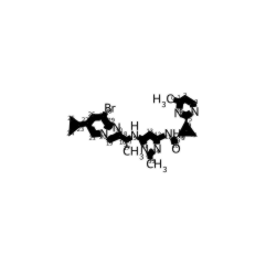 Cc1ccnc([C@H]2C[C@@H]2C(=O)Nc2cc(N[C@H](C)c3cn4cc(C5CC5)cc(Br)c4n3)nc(C)n2)n1